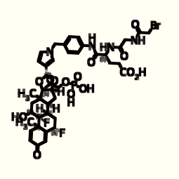 C[C@]12C=CC(=O)C=C1[C@@H](F)C[C@H]1[C@@H]3C[C@H]4O[C@@H](c5ccn(Cc6ccc(NC(=O)[C@H](CCC(=O)O)NC(=O)CNC(=O)CBr)cc6)c5)O[C@@]4(C(=O)COP(=O)(O)O)[C@@]3(C)C[C@H](O)[C@@]12F